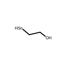 OC[CH2][SnH]